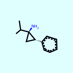 CC(C)[C@@]1(N)C[C@H]1c1ccccc1